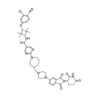 CC1(C)C(NC(=O)c2cnc(N3CCCC(CN4CCN(c5ccc6c(c5)C(=O)N(C5CCC(=O)NC5=O)C6=O)CC4)CC3)nc2)C(C)(C)C1Oc1ccc(C#N)c(Cl)c1